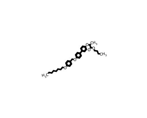 CCCCCCCCOc1ccc(COc2ccc(-c3ccc(OC(C)C(=O)OCCCC)cc3)cc2)cc1